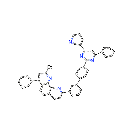 CCc1cc(-c2ccccc2)c2ccc3ccc(-c4cccc(-c5ccc(-c6nc(-c7ccccc7)cc(-c7cccnc7)n6)cc5)c4)nc3c2n1